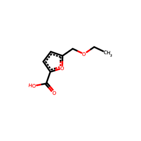 CCOCc1ccc(C(=O)O)o1